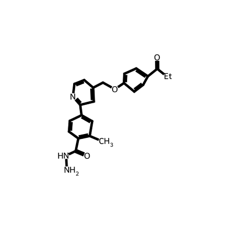 CCC(=O)c1ccc(OCc2ccnc(-c3ccc(C(=O)NN)c(C)c3)c2)cc1